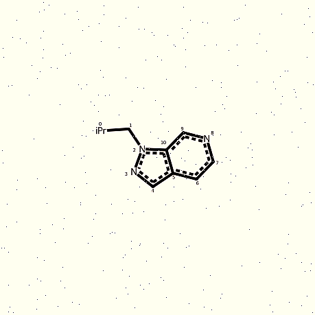 CC(C)Cn1ncc2ccncc21